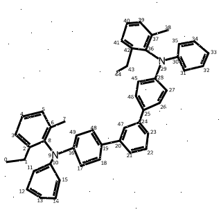 CCc1cccc(C)c1N(c1ccccc1)c1ccc(-c2cccc(-c3ccc(N(c4ccccc4)c4c(C)cccc4CC)cc3)c2)cc1